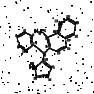 Cc1c(C(c2ccccn2)c2cnc[nH]2)ccc2cccnc12